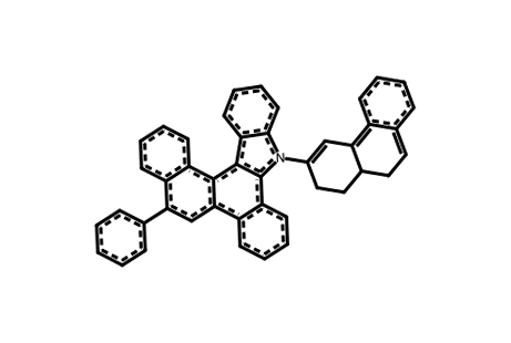 C1=C(n2c3ccccc3c3c4c5ccccc5c(-c5ccccc5)cc4c4ccccc4c32)CCC2CC=c3ccccc3=C12